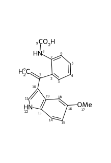 C=C(c1ccccc1NC(=O)O)c1c[nH]c2ccc(OC)cc12